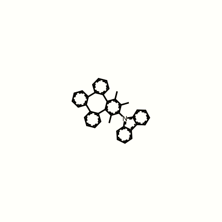 Cc1c(C)c(-n2c3ccccc3c3ccccc32)c(C)c2c1-c1ccccc1-c1ccccc1-c1ccccc1-2